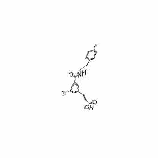 O=C(O)/C=C/c1cc(Br)cc(C(=O)NCCc2ccc(F)cc2)c1